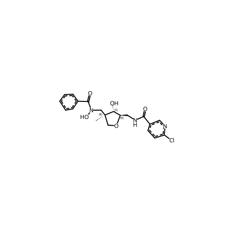 C[C@@]1(CN(O)C(=O)c2ccccc2)CO[C@H](CNC(=O)c2ccc(Cl)nc2)[C@H]1O